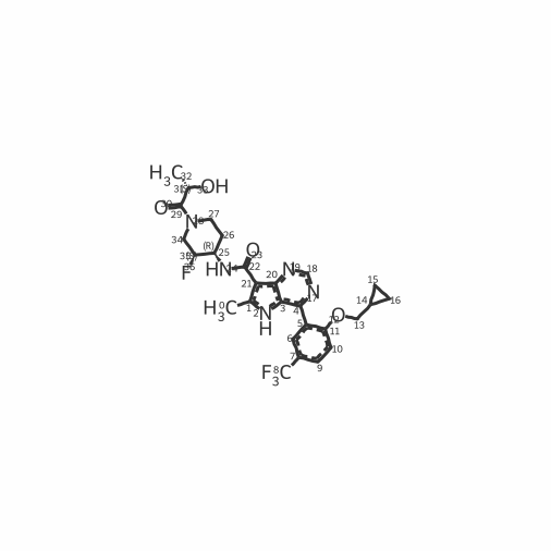 Cc1[nH]c2c(-c3cc(C(F)(F)F)ccc3OCC3CC3)ncnc2c1C(=O)N[C@@H]1CCN(C(=O)[C@H](C)O)C[C@@H]1F